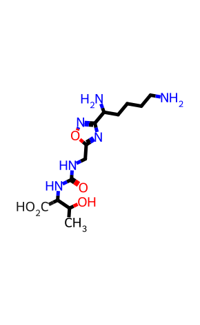 CC(O)C(NC(=O)NCc1nc(C(N)CCCCN)no1)C(=O)O